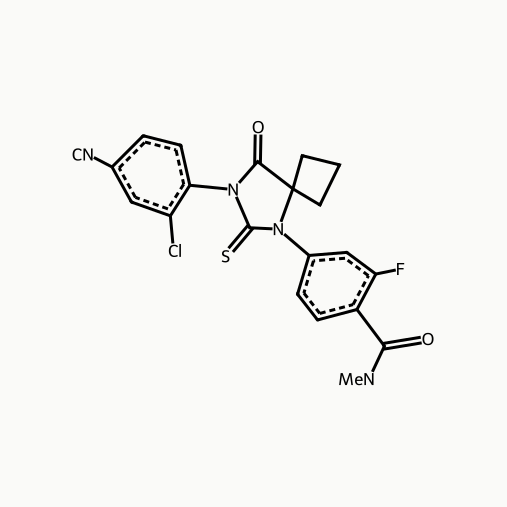 [C-]#[N+]c1ccc(N2C(=O)C3(CCC3)N(c3ccc(C(=O)NC)c(F)c3)C2=S)c(Cl)c1